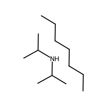 CC(C)NC(C)C.CCCCCCC